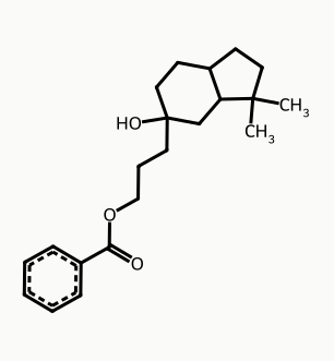 CC1(C)CCC2CCC(O)(CCCOC(=O)c3ccccc3)CC21